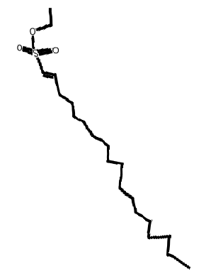 CCCCCCCCCCCCCCCCC=CS(=O)(=O)OCC